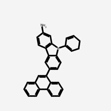 Nc1ccc2c3cc(-c4cc5ccccc5c5ccccc45)ccc3n(C3=CCCC=C3)c2c1